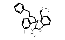 C=Cc1cccc2c1[N+](CCCc1ccccc1)(c1ccccc1)C(N)S2.[I-]